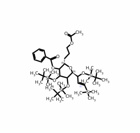 CC(=O)OCCC[C@@H]1O[C@@H](C(/C=C/[Si](C)(C)C)O[Si](C)(C)C(C)(C)C)C(O[Si](C)(C)C(C)(C)C)C(O[Si](C)(C)C(C)(C)C)C1OC(=O)c1ccccc1